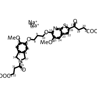 COc1cc2c(cc1OCCCOc1nc3sc(C(=O)CCC(=O)[O-])cc3cc1OC)CN(C(=O)CCC(=O)[O-])C2.[Na+].[Na+]